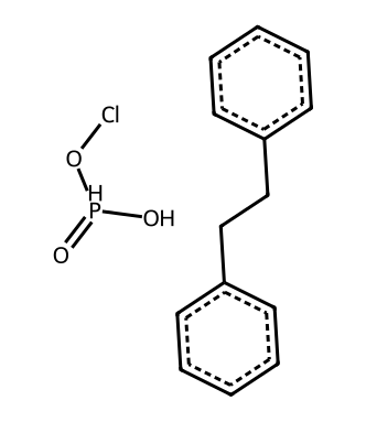 O=[PH](O)OCl.c1ccc(CCc2ccccc2)cc1